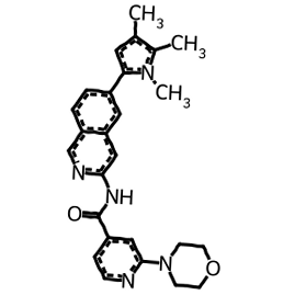 Cc1cc(-c2ccc3cnc(NC(=O)c4ccnc(N5CCOCC5)c4)cc3c2)n(C)c1C